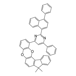 CC1(C)c2ccccc2-c2c1ccc1c2Oc2c(cccc2-c2cc(-c3ccccc3)nc(-c3ccc(-c4ccccc4)c4ccccc34)n2)O1